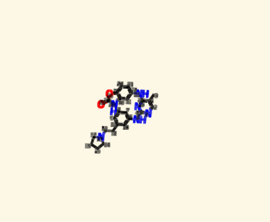 Cc1cnc(Nc2cccc(CCN3CCCC3)c2)nc1Nc1ccc2oc(=O)[nH]c2c1